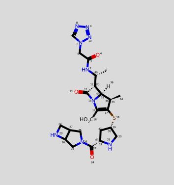 C[C@@H](NC(=O)Cn1cnnn1)[C@H]1C(=O)N2C(C(=O)O)=C(S[C@@H]3CN[C@H](C(=O)N4CC5CNC5C4)C3)[C@H](C)[C@H]12